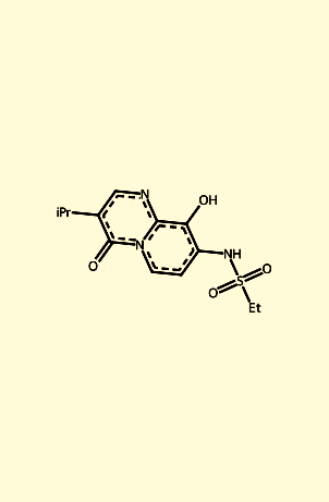 CCS(=O)(=O)Nc1ccn2c(=O)c(C(C)C)cnc2c1O